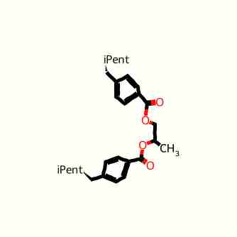 CCC[C@@H](C)Cc1ccc(C(=O)OCC(C)OC(=O)c2ccc(C[C@H](C)CCC)cc2)cc1